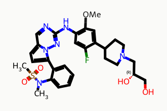 COc1cc(C2CCN(C[C@@H](O)CO)CC2)c(F)cc1Nc1ncc2ccc(-c3ccccc3N(C)S(C)(=O)=O)n2n1